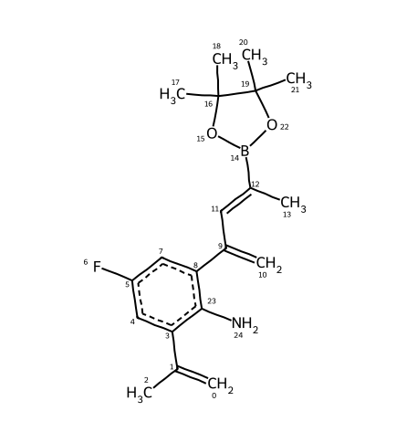 C=C(C)c1cc(F)cc(C(=C)/C=C(\C)B2OC(C)(C)C(C)(C)O2)c1N